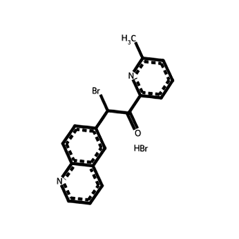 Br.Cc1cccc(C(=O)C(Br)c2ccc3ncccc3c2)n1